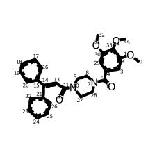 COc1cc(C(=O)N2CCN(C(=O)C=C(c3ccccc3)c3ccccc3)CC2)cc(OC)c1OC